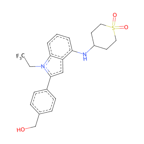 O=S1(=O)CCC(Nc2cccc3c2cc(-c2ccc(CO)cc2)n3CC(F)(F)F)CC1